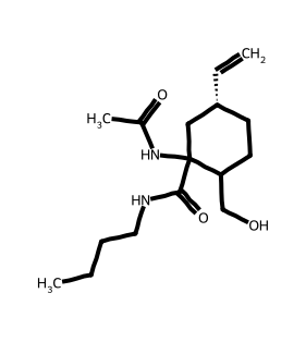 C=C[C@@H]1CCC(CO)C(NC(C)=O)(C(=O)NCCCC)C1